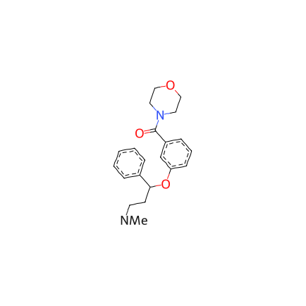 CNCCC(Oc1cccc(C(=O)N2CCOCC2)c1)c1ccccc1